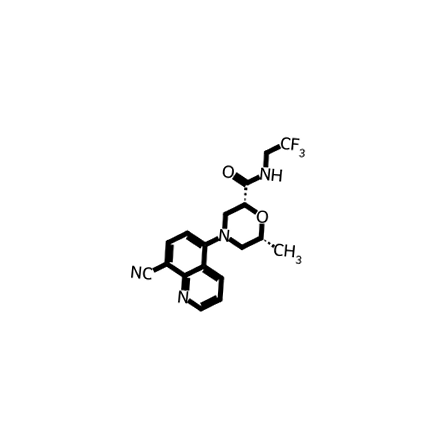 C[C@@H]1CN(c2ccc(C#N)c3ncccc23)C[C@H](C(=O)NCC(F)(F)F)O1